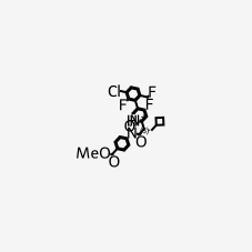 COC(=O)c1ccc(NC(=O)[C@@H](CC2CCC2)c2ccc(-c3c(C(F)F)ccc(Cl)c3F)c[n+]2[O-])cc1